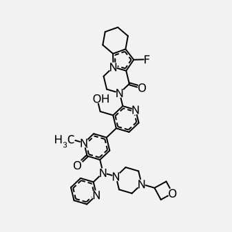 Cn1cc(-c2ccnc(N3CCn4c5c(c(F)c4C3=O)CCCC5)c2CO)cc(N(c2ccccn2)N2CCN(C3COC3)CC2)c1=O